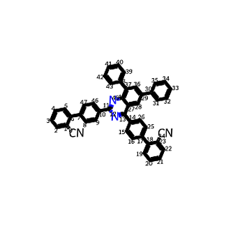 N#Cc1ccccc1-c1ccc(-c2nc(-c3ccc(-c4ccccc4C#N)cc3)c3cc(-c4ccccc4)cc(-c4ccccc4)c3n2)cc1